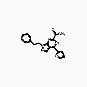 NC(=O)c1nc(-c2ccco2)c2cnn(CCc3ccccc3)c2n1